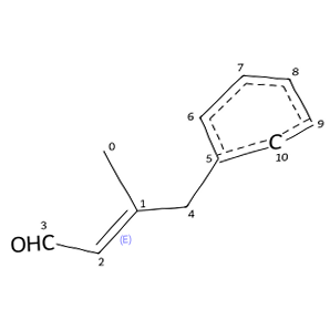 C/C(=C\C=O)Cc1ccccc1